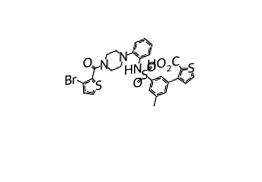 Cc1cc(-c2ccsc2C(=O)O)cc(S(=O)(=O)Nc2ccccc2N2CCN(C(=O)c3sccc3Br)CC2)c1